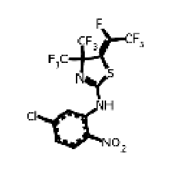 O=[N+]([O-])c1ccc(Cl)cc1NC1=NC(C(F)(F)F)(C(F)(F)F)C(=C(F)C(F)(F)F)S1